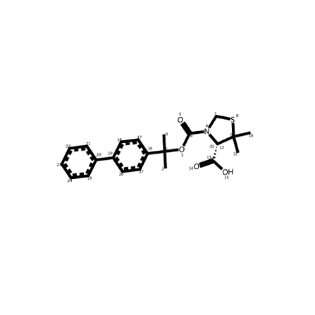 CC(C)(OC(=O)N1CSC(C)(C)[C@@H]1C(=O)O)c1ccc(-c2ccccc2)cc1